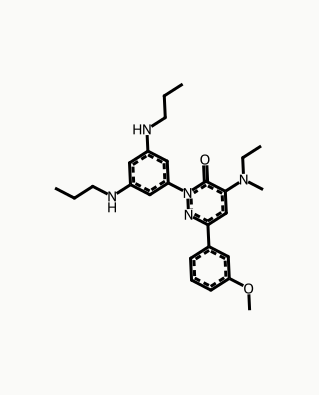 CCCNc1cc(NCCC)cc(-n2nc(-c3cccc(OC)c3)cc(N(C)CC)c2=O)c1